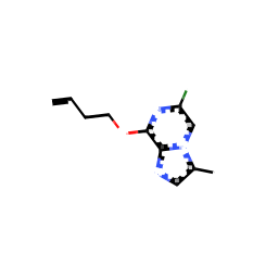 C=CCCOc1nc(Cl)cn2c(C)cnc12